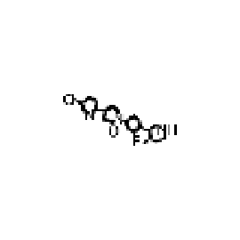 CC1=C(c2ccc(-n3ccc(-c4ccc(Cl)cn4)cc3=O)cc2F)CNCC1